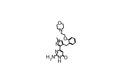 Cn1cc(Cc2ccccc2OCCN2CCOCC2)c(-c2cc(=O)[nH]c(N)n2)n1